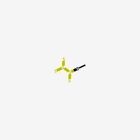 CB=S(=S)=S(=S)=S